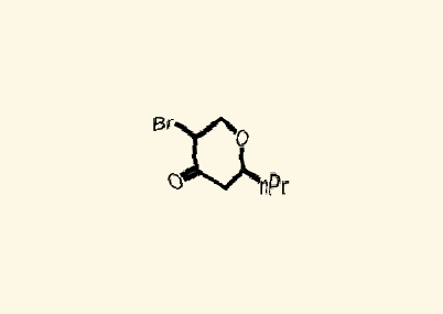 CCCC1CC(=O)C(Br)CO1